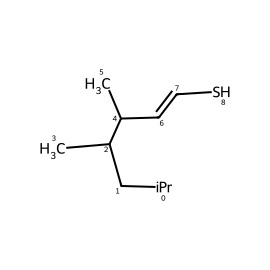 CC(C)CC(C)C(C)C=CS